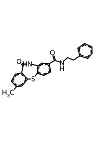 Cc1ccc2c(c1)Sc1ccc(C(=O)NCCc3ccccc3)cc1NC2=O